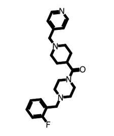 O=C(C1CCN(Cc2ccncc2)CC1)N1CCN(Cc2ccccc2F)CC1